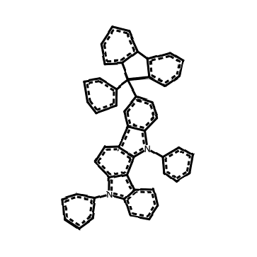 c1ccc(-n2c3ccccc3c3c2ccc2c4cc(C5(c6ccccc6)c6ccccc6-c6ccccc65)ccc4n(-c4ccccc4)c23)cc1